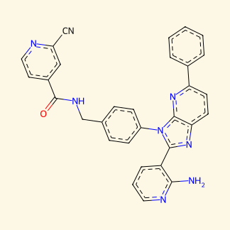 N#Cc1cc(C(=O)NCc2ccc(-n3c(-c4cccnc4N)nc4ccc(-c5ccccc5)nc43)cc2)ccn1